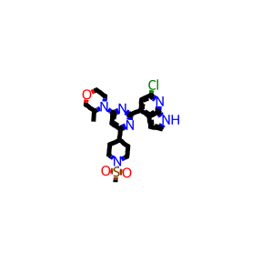 CC1COCCN1c1cc(C2CCN(S(C)(=O)=O)CC2)nc(-c2cc(Cl)nc3[nH]ccc23)n1